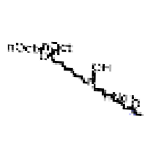 C/C=C(/CCCCCCCN(CCO)CCCCCCCC(=O)OC(CCCCCCCC)CCCCCCCC)OCCCCCCCCC